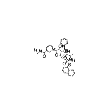 CC(NP(=O)(OCC1OC([n+]2cccc(C(N)=O)c2)[C@H](O)[C@@H]1O)Oc1cccc2ccccc12)C(=O)OCc1ccccc1